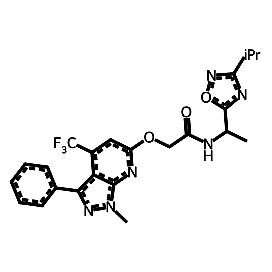 CC(C)c1noc(C(C)NC(=O)COc2cc(C(F)(F)F)c3c(-c4ccccc4)nn(C)c3n2)n1